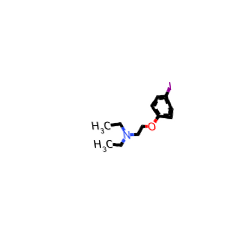 CCN(CC)CCOc1ccc(I)cc1